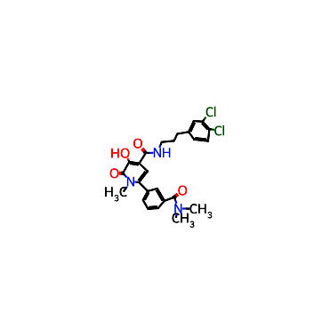 CN(C)C(=O)c1cccc(-c2cc(C(=O)NCCCc3ccc(Cl)c(Cl)c3)c(O)c(=O)n2C)c1